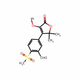 CC(C)OC1=C(c2ccc(S(C)(=O)=O)c(C=O)c2)C(C)(C)OC1=O